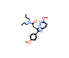 CCCN(CCC)C(=O)Cc1c(-c2ccc(OC)cc2)nc2ccc(OC)nn12